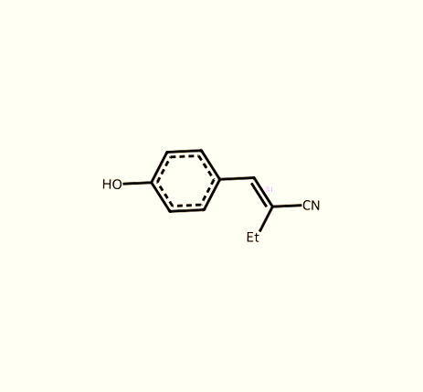 CC/C(C#N)=C\c1ccc(O)cc1